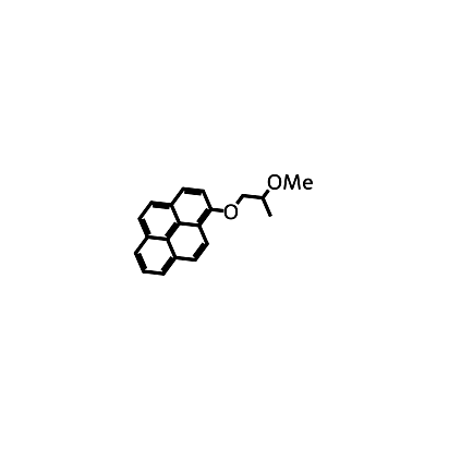 COC(C)COc1ccc2ccc3cccc4ccc1c2c34